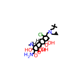 CN(C)[C@@H]1C(O)=C(C(N)=O)C(=O)[C@@]2(O)C(O)=C3C(=O)c4c(O)cc(CN(CCC(C)(C)C)CC5CC5)c(Cl)c4C[C@H]3C[C@@H]12